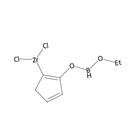 CCOBOC1=[C]([Zr]([Cl])[Cl])CC=C1